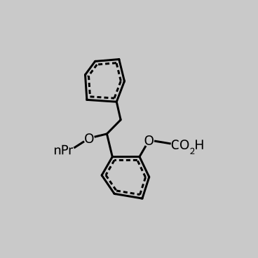 CCCOC(Cc1ccccc1)c1ccccc1OC(=O)O